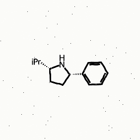 CC(C)[C@H]1CC[C@@H](c2ccccc2)N1